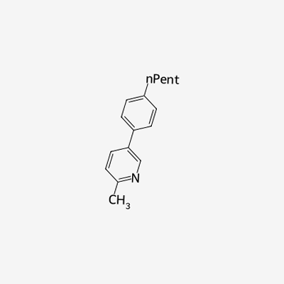 CCCCCc1ccc(-c2ccc(C)nc2)cc1